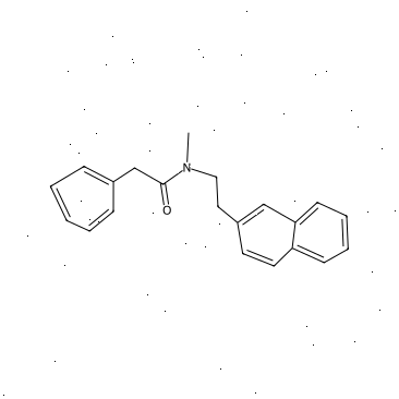 CN(CCc1ccc2ccccc2c1)C(=O)Cc1ccccc1